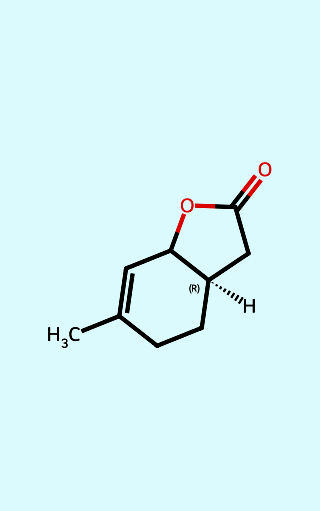 CC1=CC2OC(=O)C[C@H]2CC1